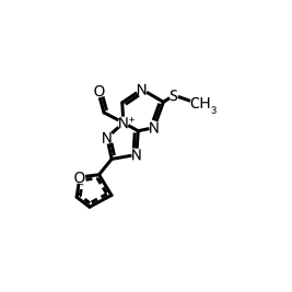 CSC1=NC2=NC(c3ccco3)=N[N+]2(C=O)C=N1